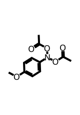 COc1ccc(N(OC(C)=O)OC(C)=O)cc1